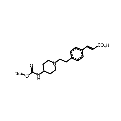 CC(C)(C)OC(=O)NC1CCN(CCc2ccc(/C=C/C(=O)O)cc2)CC1